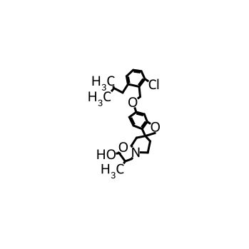 CC(C)Cc1cccc(Cl)c1COc1ccc2c(c1)OCC21CCN(CC(C)C(=O)O)CC1